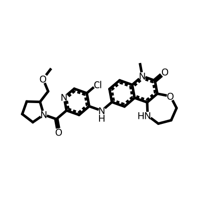 COCC1CCCN1C(=O)c1cc(Nc2ccc3c(c2)c2c(c(=O)n3C)OCCCN2)c(Cl)cn1